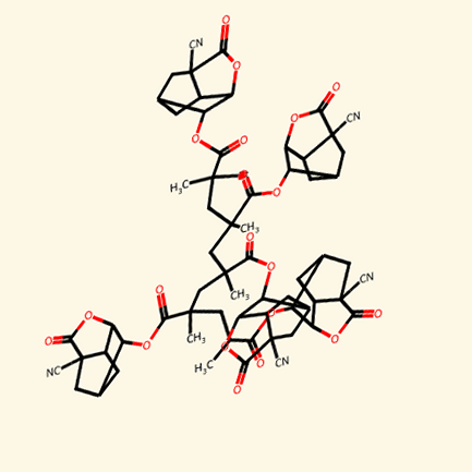 CCC(C)(CC(C)(CC(C)(CC(C)(CC(C)C(=O)OC1C2CC3C1OC(=O)C3(C#N)C2)C(=O)OC1C2CC3C1OC(=O)C3(C#N)C2)C(=O)OC1C2CC3C1OC(=O)C3(C#N)C2)C(=O)OC1C2CC3C1OC(=O)C3(C#N)C2)C(=O)OC1C2CC3C1OC(=O)C3(C#N)C2